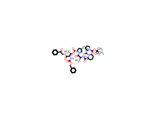 C[C@H]1C[C@@H](C(=O)O[C@@H](C)[C@H](NC(=O)OCc2ccccc2)C(=O)OCC(=O)c2ccccc2)N(C(=O)[C@H](C)NC(=O)[C@@H]2CCCCN2C(=O)[C@@H]2CCCN2C(=O)OC(C)(C)C)C1